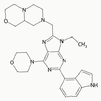 CCn1c(CN2CCN3CCOCC3C2)nc2c(N3CCOCC3)nc(-c3cccc4[nH]ccc34)nc21